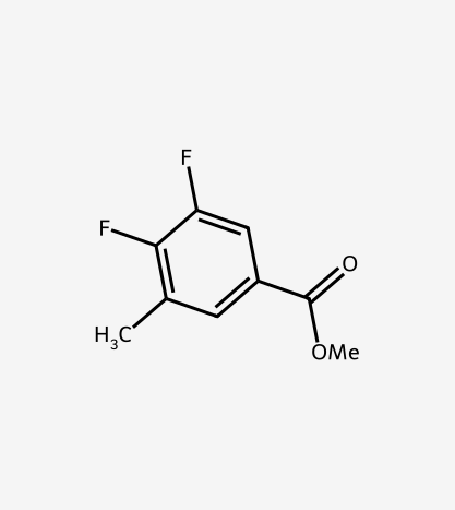 COC(=O)c1cc(C)c(F)c(F)c1